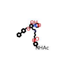 CC(=O)Nc1ccc(OC(=O)CCC/C=C\CC2[C@@H](OCc3ccc(-c4ccccc4)cc3)C[C@@H](O)[C@@H]2N2CCOCC2)cc1